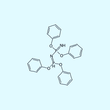 N=P(N=[PH](Oc1ccccc1)Oc1ccccc1)(Oc1ccccc1)Oc1ccccc1